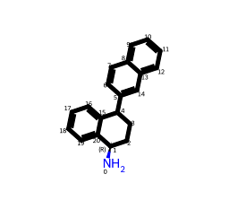 N[C@@H]1CCC(c2ccc3ccccc3c2)c2ccccc21